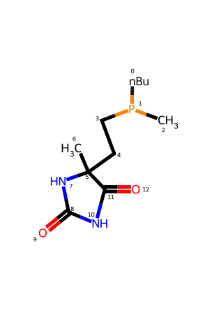 CCCCP(C)CCC1(C)NC(=O)NC1=O